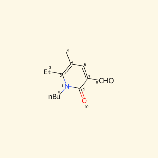 CCCCn1c(CC)c(C)cc(C=O)c1=O